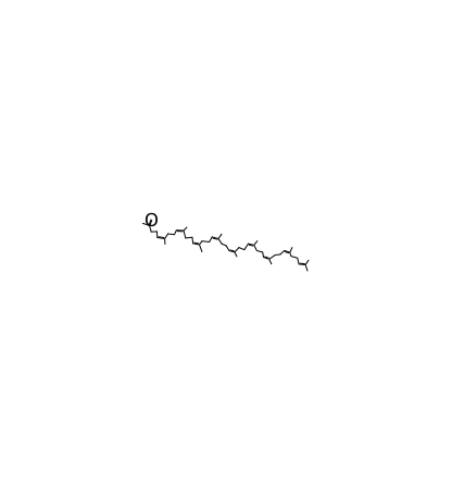 CC(=O)CCC=C(C)CCC=C(C)CCC=C(C)CCC=C(C)CCC=C(C)CCC=C(C)CCC=C(C)CCC=C(C)CCC=C(C)C